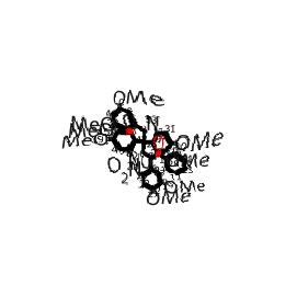 COc1cc(CC(C[C](C(=O)c2ccccc2)c2cc(OC)c(OC)cc2[N+](=O)[O-])(c2cc(OC)c(OC)cc2[N+](=O)[O-])c2cc(OC)c(OC)cc2[N+](=O)[O-])cc(OC)c1